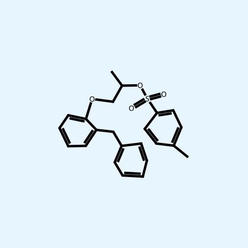 Cc1ccc(S(=O)(=O)OC(C)COc2ccccc2Cc2ccccc2)cc1